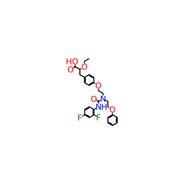 CCOC(Cc1ccc(OCCN(CCOc2ccccc2)C(=O)Nc2ccc(F)cc2F)cc1)C(=O)O